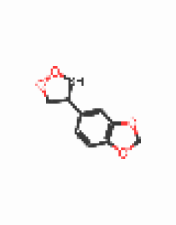 B1OOCC1c1ccc2c(c1)OCO2